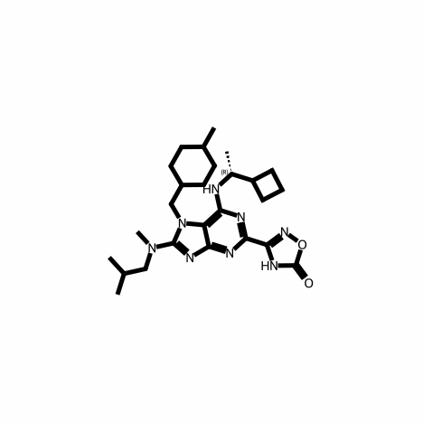 CC(C)CN(C)c1nc2nc(-c3noc(=O)[nH]3)nc(N[C@H](C)C3CCC3)c2n1CC1CCC(C)CC1